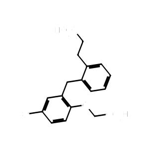 O=C(O)CCc1ccccc1Cc1cc(Cl)ccc1OCC(=O)O